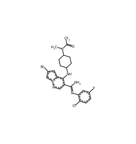 CN(C(=O)C(F)(F)F)C1CCC(Nc2c(C(N)=Nc3cc(F)ccc3Cl)cnn3cc(Br)cc23)CC1